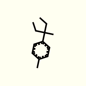 CCC(C)(CC)c1ccc(C)cc1